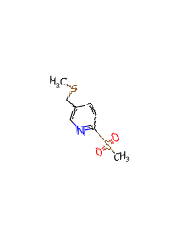 CSCc1ccc(S(C)(=O)=O)nc1